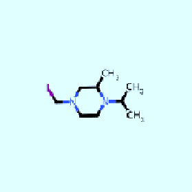 CC(C)N1CCN(CI)CC1C